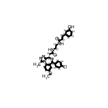 COc1ccc2c(c1)C(c1ccc(Cl)cc1)=N[C@@H](CC(=O)NCCNC(=O)/C=C/c1cccc(O)c1)c1nnc(C)n1-2